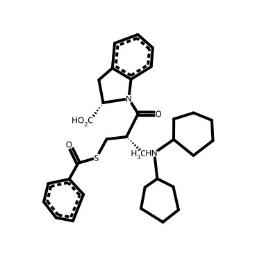 C1CCC(NC2CCCCC2)CC1.C[C@H](CSC(=O)c1ccccc1)C(=O)N1c2ccccc2C[C@H]1C(=O)O